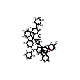 Fc1ccc(-n2c3ccccc3c3cc(N(c4ccccc4)c4ccc5c(c4)C4(c6ccc(-c7ccccc7)cc6Oc6cc(-c7ccccc7)ccc64)c4ccccc4-5)ccc32)cc1